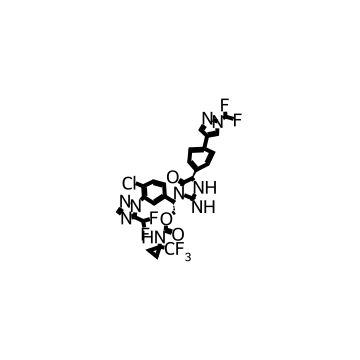 N=C1N[C@H](c2ccc(-c3cnn(C(F)F)c3)cc2)C(=O)N1[C@H](COC(=O)NC1(C(F)(F)F)CC1)c1ccc(Cl)c(-n2ncnc2C(F)F)c1